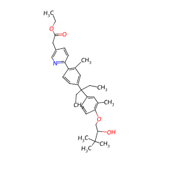 CCOC(=O)Cc1ccc(-c2ccc(C(CC)(CC)c3ccc(OCC(O)C(C)(C)C)c(C)c3)cc2C)nc1